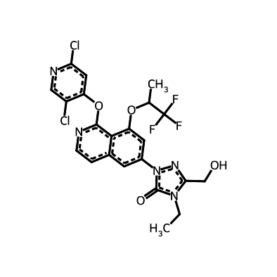 CCn1c(CO)nn(-c2cc(OC(C)C(F)(F)F)c3c(Oc4cc(Cl)ncc4Cl)nccc3c2)c1=O